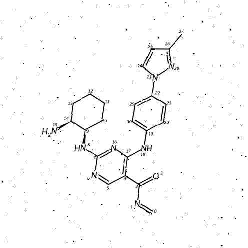 C=NC(=O)c1cnc(N[C@@H]2CCCC[C@@H]2N)nc1Nc1ccc(-n2ccc(C)n2)cc1